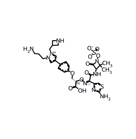 CC1(C)C(NC(=O)/C(=N\O[C@@H](COc2ccc(-c3cn(CCCN)[n+](CC4CNC4)c3)cc2)C(=O)O)c2csc(N)n2)C(=O)N1OS(=O)(=O)[O-]